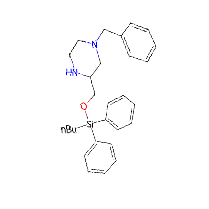 CCCC[Si](OCC1CN(Cc2ccccc2)CCN1)(c1ccccc1)c1ccccc1